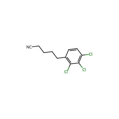 N#CCCCCc1ccc(Cl)c(Cl)c1Cl